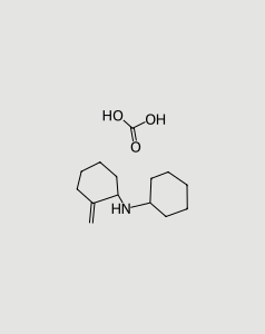 C=C1CCCCC1NC1CCCCC1.O=C(O)O